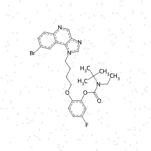 CCN(C(=O)Oc1cc(F)ccc1OCCCCn1cnc2cnc3ccc(Br)cc3c21)C(C)(C)C